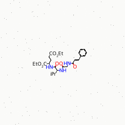 CCOC(=O)CC[C@@H](NC(=O)[C@@H](NC(=O)CNC(=O)C=Cc1ccccc1)C(C)C)C(=O)OCC